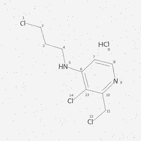 Cl.ClCCCNc1ccnc(CCl)c1Cl